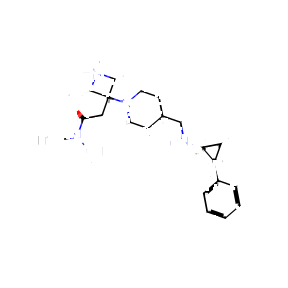 CN(C)C(=O)CC1(N2CCC(CN[C@@H]3C[C@H]3c3ccccc3)CC2)CNC1